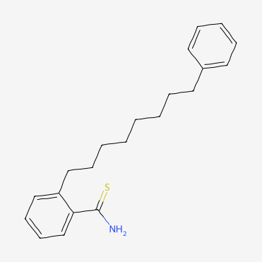 NC(=S)c1ccccc1CCCCCCCCc1ccccc1